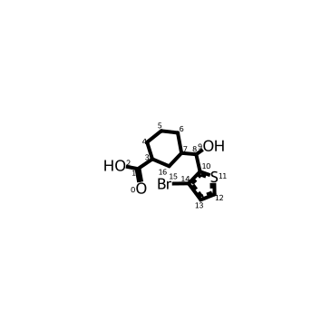 O=C(O)C1CCCC(C(O)c2sccc2Br)C1